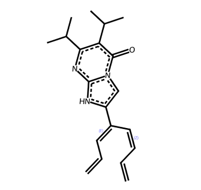 C=C/C=C\C(=C/C=C)c1cn2c(=O)c(C(C)C)c(C(C)C)nc2[nH]1